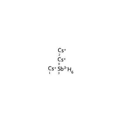 [Cs+].[Cs+].[Cs+].[SbH6-3]